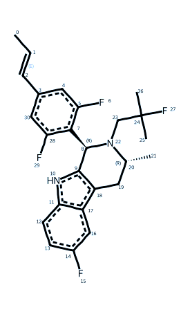 C/C=C/c1cc(F)c([C@@H]2c3[nH]c4ccc(F)cc4c3C[C@@H](C)N2CC(C)(C)F)c(F)c1